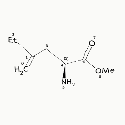 C=C(CC)C[C@H](N)C(=O)OC